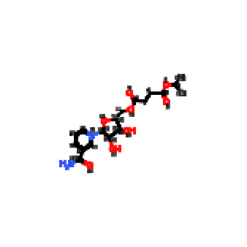 CCC(CC)OC(=O)CCC(=O)OC[C@H]1O[C@@H]([n+]2cccc(C(N)=O)c2)[C@H](O)[C@@H]1O